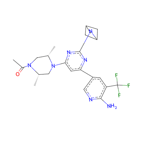 CC(=O)N1C[C@H](C)N(c2cc(-c3cnc(N)c(C(F)(F)F)c3)nc(N3CC4CC3C4)n2)C[C@@H]1C